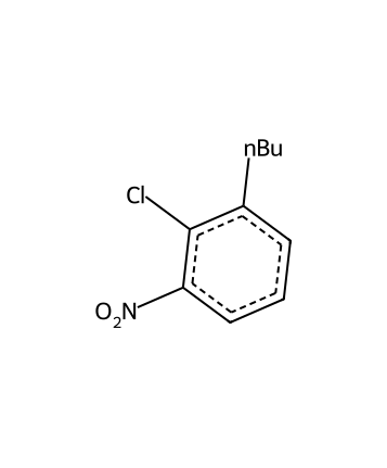 CCCCc1cccc([N+](=O)[O-])c1Cl